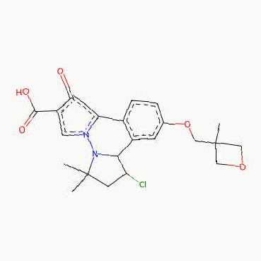 CC1(COc2ccc3c(c2)C2C(Cl)CC(C)(C)N2n2cc(C(=O)O)c(=O)cc2-3)COC1